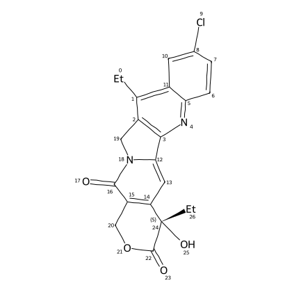 CCc1c2c(nc3ccc(Cl)cc13)-c1cc3c(c(=O)n1C2)COC(=O)[C@]3(O)CC